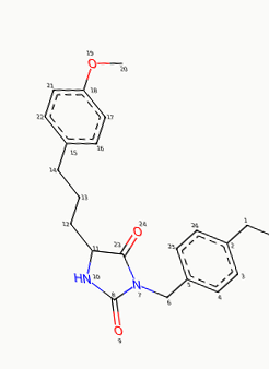 CCc1ccc(CN2C(=O)NC(CCCc3ccc(OC)cc3)C2=O)cc1